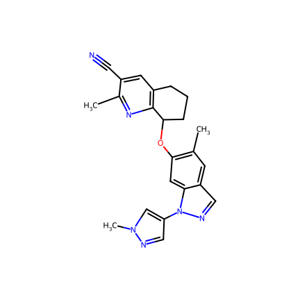 Cc1cc2cnn(-c3cnn(C)c3)c2cc1OC1CCCc2cc(C#N)c(C)nc21